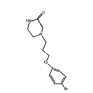 O=C1CN(CCCOc2ccc(Br)cc2)CCN1